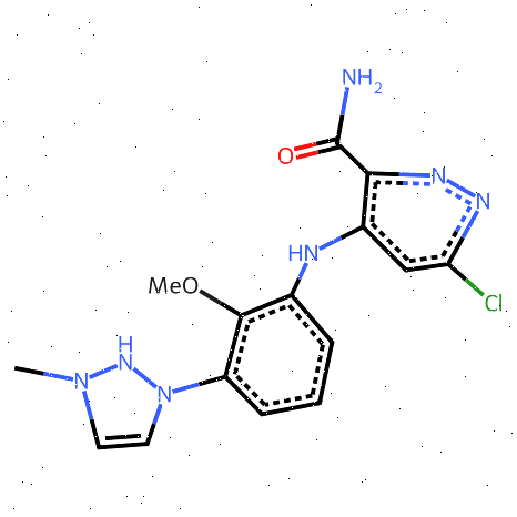 COc1c(Nc2cc(Cl)nnc2C(N)=O)cccc1N1C=CN(C)N1